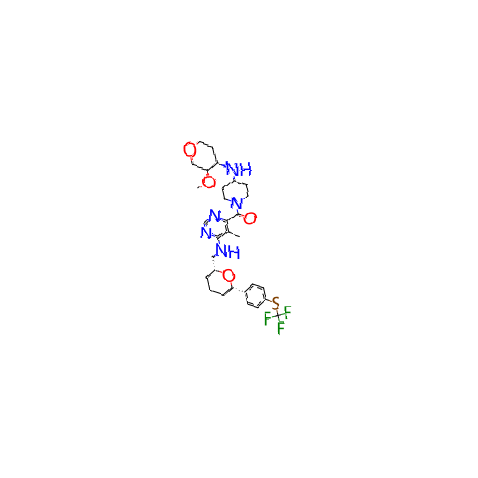 CO[C@H]1COCC[C@H]1NC1CCN(C(=O)c2ncnc(NC[C@H]3CCC[C@@H](c4ccc(SC(F)(F)F)cc4)O3)c2C)CC1